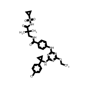 CC(C)(CNC(=O)c1ccc(Nc2nc(NC3(c4ccc(Cl)cc4)CC3)nc(OCC(F)(F)F)n2)cc1)C(=O)NS(=O)(=O)C1CC1